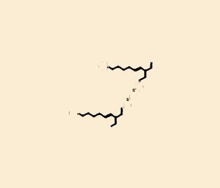 CCC(C=CCCCCCl)CCOCOCOCCC(C=CCCCCCl)CC